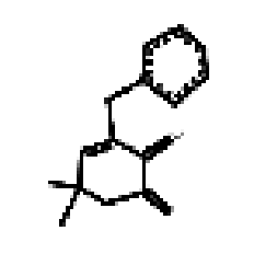 C=C1CC(C)(C)C=C(Cc2ccccc2)C1=O